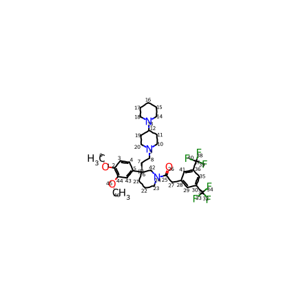 COc1ccc([C@@]2(CCN3CCC(N4CCCCC4)CC3)CCCN(C(=O)Cc3cc(C(F)(F)F)cc(C(F)(F)F)c3)C2)cc1OC